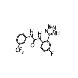 O=C(Nc1cccc(C(F)(F)F)c1)Nc1ccc(F)cc1-c1nnn[nH]1